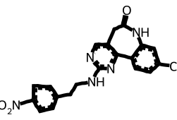 O=C1Cc2cnc(NCCc3ccc([N+](=O)[O-])cc3)nc2-c2ccc(Cl)cc2N1